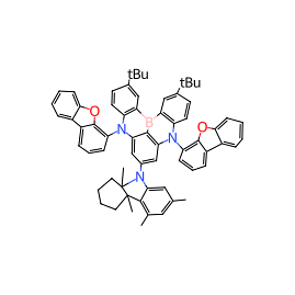 Cc1cc(C)c2c(c1)N(c1cc3c4c(c1)N(c1cccc5c1oc1ccccc15)c1ccc(C(C)(C)C)cc1B4c1cc(C(C)(C)C)ccc1N3c1cccc3c1oc1ccccc13)C1(C)CCCCC21C